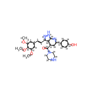 COc1cc(C=Cc2n[nH]c3nc(-c4ccc(O)cc4)cc(C(=O)N4CCNCC4)c23)cc(OC)c1OC